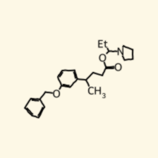 CCC(OC(=O)CCC(C)c1cccc(OCc2ccccc2)c1)N1CCCC1